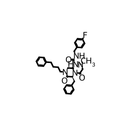 CN1CC(=O)N2[C@@H](Cc3ccccc3)C(=O)N(CCCCc3ccccc3)C[C@@H]2N1C(=O)NCc1ccc(F)cc1